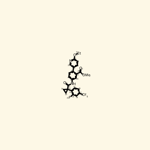 CCOc1ccc(-c2ccc(NC(=O)C3(c4ccc(C(F)(F)F)cc4F)CC3)cc2C(=O)OC)cn1